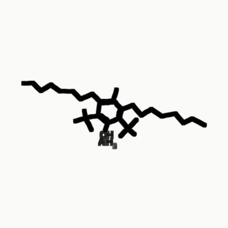 CCCCCCCCc1c(C)c(CCCCCCCC)c(C(C)(C)C)c(O)c1C(C)(C)C.[AlH3]